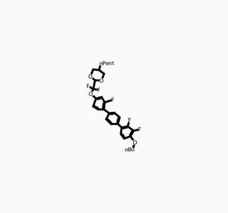 CCCCCC1COC(C(F)(F)Oc2ccc(-c3ccc(-c4ccc(OCCCC)c(F)c4F)cc3)c(F)c2)OC1